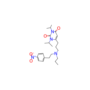 CCCN(CCCc1cc(=O)n(C(C)C)c(=O)n1C(C)C)CCc1ccc([N+](=O)[O-])cc1